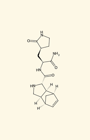 NC(=O)[C@H](C[C@@H]1CCNC1=O)NC(=O)[C@H]1NC[C@H]2[C@@H]1[C@H]1C=C[C@@H]2C1